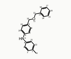 Cc1ccc(Nc2ccc(COCc3ccccc3)cc2)cc1